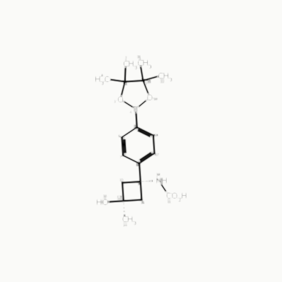 CC1(C)OB(c2ccc([C@]3(NC(=O)O)C[C@](C)(O)C3)cc2)OC1(C)C